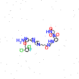 Nc1ncc(-c2cnn(C3CCN(CCCCC(=O)N4CC(CNc5cccc6c5CN([C@@H]5CCC(=O)NC5=O)C6=O)C4)CC3)c2)cc1OCCc1c(Cl)ccc(F)c1Cl